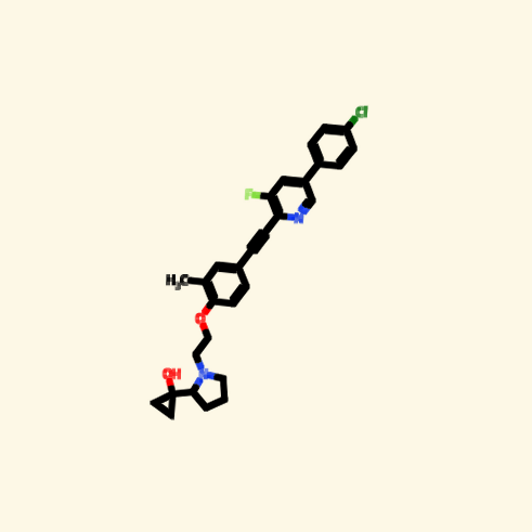 Cc1cc(C#Cc2ncc(-c3ccc(Cl)cc3)cc2F)ccc1OCCN1CCCC1C1(O)CC1